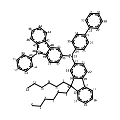 CCCCCCC1(CCCCCC)c2ccccc2-c2ccc(N(c3ccc(-c4ccccc4)cc3)c3ccc4c(c3)c3ccccc3n4-c3ccccc3)cc21